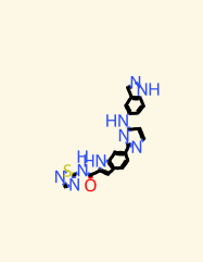 O=C(Nc1ncns1)c1cc2ccc(-c3nccc(Nc4ccc5[nH]ncc5c4)n3)cc2[nH]1